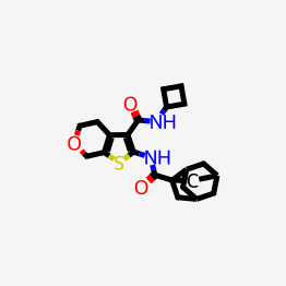 O=C(NC1CCC1)c1c(NC(=O)C23CC4CC(CC2C4)C3)sc2c1CCOC2